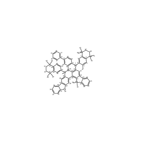 Cc1cc2c(cc1N1c3ccc(-c4ccccc4)cc3B3c4c1cc1c(c4-c4cc5oc6ccccc6c5cc4N3c3ccc4c(c3)C(C)(C)CCC4(C)C)C(C)(C)c3ccccc3-1)C(C)(C)CCC2(C)C